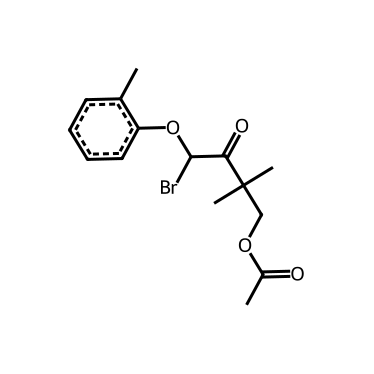 CC(=O)OCC(C)(C)C(=O)C(Br)Oc1ccccc1C